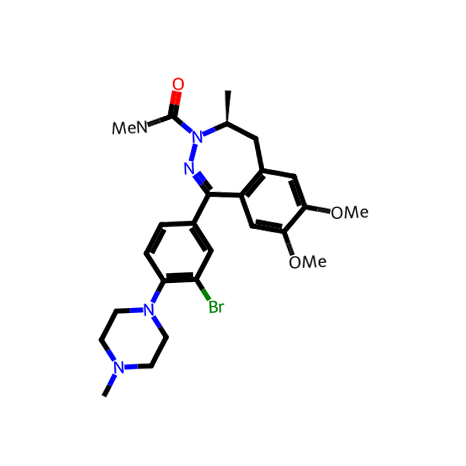 CNC(=O)N1N=C(c2ccc(N3CCN(C)CC3)c(Br)c2)c2cc(OC)c(OC)cc2C[C@@H]1C